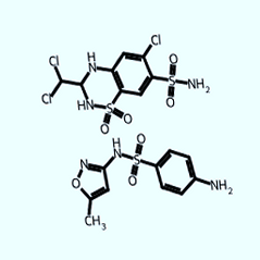 Cc1cc(NS(=O)(=O)c2ccc(N)cc2)no1.NS(=O)(=O)c1cc2c(cc1Cl)NC(C(Cl)Cl)NS2(=O)=O